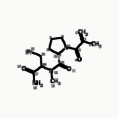 C=C(C)C(=O)N1CCC[C@H]1C(=O)N(C)C(CC(C)C)C(N)=O